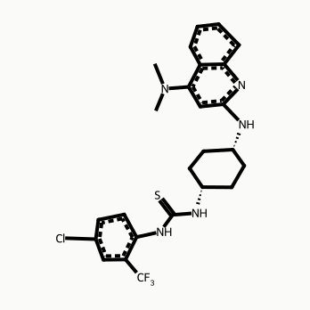 CN(C)c1cc(N[C@H]2CC[C@@H](NC(=S)Nc3ccc(Cl)cc3C(F)(F)F)CC2)nc2ccccc12